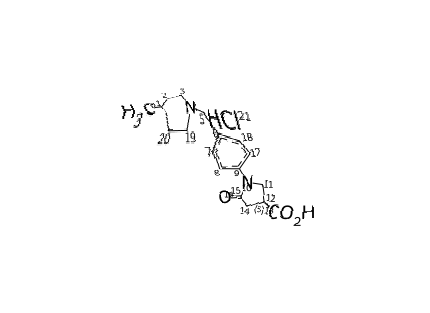 CC1CCN(Cc2ccc(N3C[C@@H](C(=O)O)CC3=O)cc2)CC1.Cl